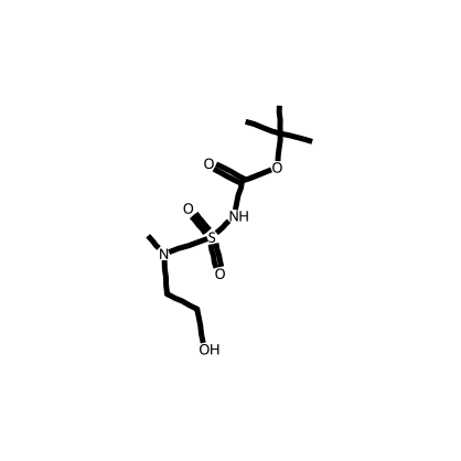 CN(CCO)S(=O)(=O)NC(=O)OC(C)(C)C